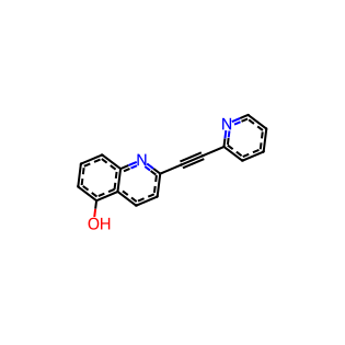 Oc1cccc2nc(C#Cc3ccccn3)ccc12